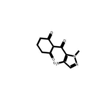 Cn1ncc([N+](=O)[O-])c1C(=O)C1C(=O)CCCC1=O